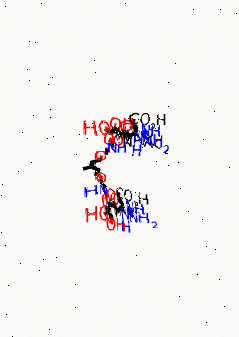 CC(=O)N[C@H]1[C@H]([C@H](OC(=O)NCCOCCC(C)CCOCCNC(=O)O[C@@H]([C@@H]2OC(C(=O)O)=C[C@H](NC(=N)N)[C@H]2C)[C@H](O)CO)[C@H](O)CO)OC(C(=O)O)=C[C@@H]1NC(=N)N